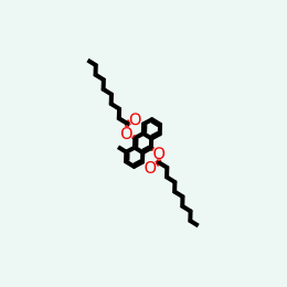 CCCCCCCCCC(=O)Oc1c2ccccc2c(OC(=O)CCCCCCCCC)c2c(C)cccc12